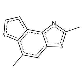 Cc1nc2c(cc(C)c3sccc32)s1